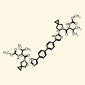 COC(=O)N[C@H](C(=O)N1CC2(CC2)C[C@@H]1c1ncc(-c2ccc(-c3ccc(-c4cnc([C@@H]5CC6(CC6)CN5C(=O)[C@@H](NC(=O)OC)C(C)C)[nH]4)cc3)cc2)[nH]1)C(C)C